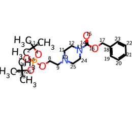 CC(C)(C)OP(=O)(OCCN1CCN(C(=O)OCc2ccccc2)CC1)OC(C)(C)C